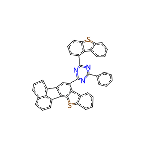 c1ccc(-c2nc(-c3cccc4sc5ccccc5c34)nc(-c3cc4c(c5sc6ccccc6c35)-c3cccc5cccc-4c35)n2)cc1